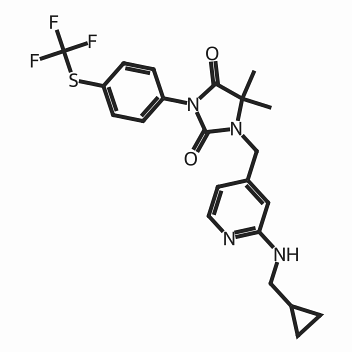 CC1(C)C(=O)N(c2ccc(SC(F)(F)F)cc2)C(=O)N1Cc1ccnc(NCC2CC2)c1